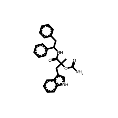 CC(Cc1c[nH]c2ccccc12)(OC(N)=O)C(=O)NC(Cc1ccccc1)c1ccccc1